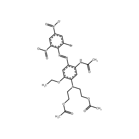 CCOc1cc(N=Nc2c(Br)cc([N+](=O)[O-])cc2[N+](=O)[O-])c(NC(C)=O)cc1N(CCOC(C)=O)CCOC(C)=O